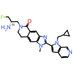 Cn1c(-c2cc3ccncc3n2CC2CC2)nc2cc3c(cc21)CCN(C[C@H](N)CF)C3=O